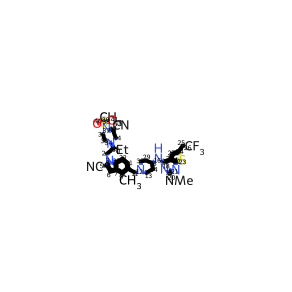 CC[C@@H](Cn1c(C#N)cc2c(C)c(CN3CCC(Nc4nc(NC)nc5sc(CC(F)(F)F)cc45)CC3)ccc21)N1CCN(S(C)(=O)=O)[C@H](C#N)C1